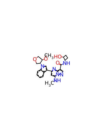 CNc1cc(-c2cn([C@@H]3COC[C@H]3OC)c3ccccc23)nc2c(C(=O)NC3CCC3O)cnn12